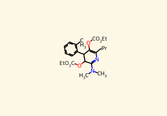 CCOC(=O)OC1=C(C(C)C)N=C(N(C)C)C(OC(=O)OCC)C1c1ccccc1C